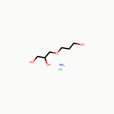 Cl.N.OCCCOCC(O)CO